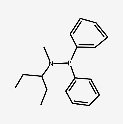 CCC(CC)N(C)P(c1ccccc1)c1ccccc1